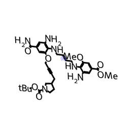 COC(=O)c1cc(N)c(NC/C=C/CNc2c(N)cc(C(N)=O)cc2OCC#CCC2CCN(C(=O)OC(C)(C)C)C2)c(OC)c1